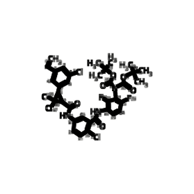 C=Cc1cc(Cl)cc(C2C(C(=O)Nc3ccc(Cl)c(C(=O)Nc4ccc(F)c(N(C(=O)OC(C)(C)C)C(=O)OC(C)(C)C)c4F)c3)C2(Cl)Cl)c1